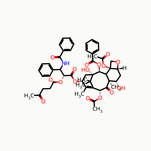 CC(=O)CCC(=O)O[C@@H](C(=O)O[C@H]1C[C@@]2(O)[C@@H](OC(=O)c3ccccc3)C3[C@](C)(C(=O)[C@H](OC(C)=O)C(=C1C)C2(C)C)[C@@H](O)C[C@H]1OC[C@@]31OC(C)=O)C(NC(=O)c1ccccc1)c1ccccc1